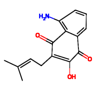 CC(C)=CCC1=C(O)C(=O)c2cccc(N)c2C1=O